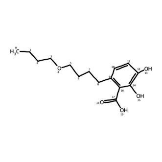 CCCCOCCCCc1ccc(O)c(O)c1C(=O)O